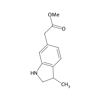 COC(=O)Cc1ccc2c(c1)NCC2C